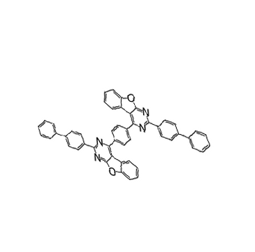 c1ccc(-c2ccc(-c3nc(-c4ccc(-c5nc(-c6ccc(-c7ccccc7)cc6)nc6oc7ccccc7c56)cc4)c4c(n3)oc3ccccc34)cc2)cc1